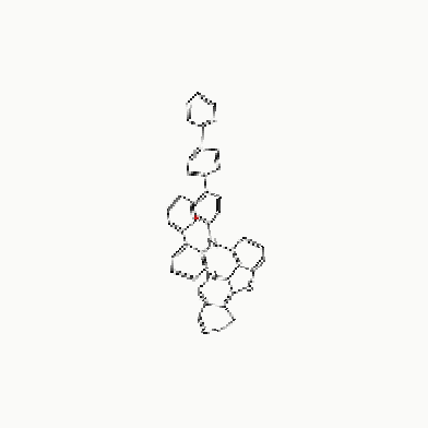 C1=Cc2cnc3c(sc4cccc(N(c5ccc(-c6ccc(-c7ccccc7)cc6)cc5)c5ccccc5-c5ccccc5)c43)c2CC1